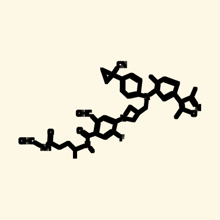 Cc1ccc(-c2c(C)noc2C)cc1N(CC1CN(c2cc(C=O)c(C(=O)N(C)C(C)CCC(=O)NC=O)cc2F)C1)c1ccc(C2(C#N)CC2)cc1